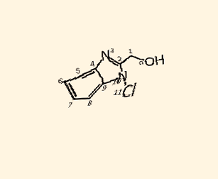 OCc1nc2ccccc2n1Cl